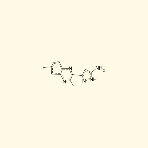 Cc1ccc2nc(-c3cc(N)[nH]n3)c(C)nc2c1